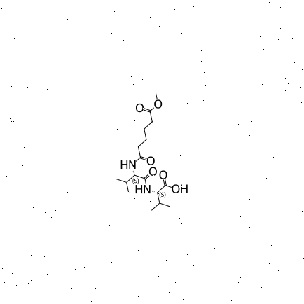 COC(=O)CCCCC(=O)N[C@H](C(=O)N[C@H](C(=O)O)C(C)C)C(C)C